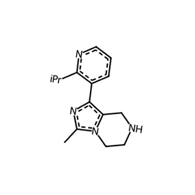 Cc1nc(-c2cccnc2C(C)C)c2n1CCNC2